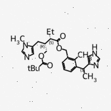 CC[C@H](C(=O)OCc1cccc([C@H](C)c2c[nH]cn2)c1C)[C@H](COC(=O)C(C)(C)C)Cc1cncn1C